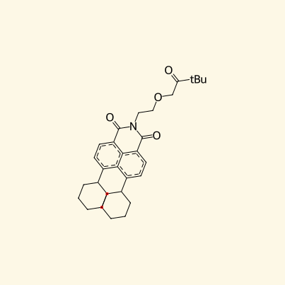 CC(C)(C)C(=O)COCCN1C(=O)c2ccc(C3CCCCC3)c3c(C4CCCCC4)ccc(c23)C1=O